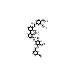 COc1cc(/C(F)=C/c2cccc(-c3cccc(COc4cc(OCc5cncc(C#N)c5)c(C=O)cc4Cl)c3C)c2C)ccc1CO